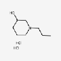 CCCN1CCCC(O)C1.Cl.Cl